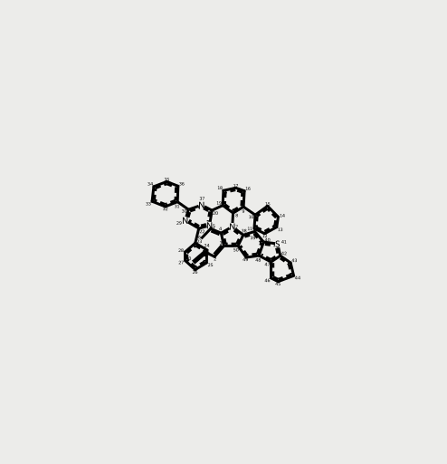 C=C/C=c1\c(=C/C)n(-c2c(-c3ccccc3)cccc2-c2nc(-c3ccccc3)nc(-c3ccccc3)n2)c2cc3sc4ccccc4c3cc12